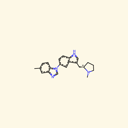 Cc1ccc2c(c1)ncn2-c1ccc2[nH]cc(C[C@H]3CCCN3C)c2c1